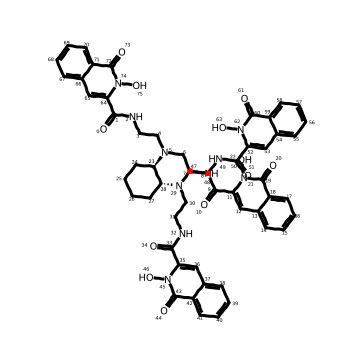 O=C(NCCN(CCNC(=O)c1cc2ccccc2c(=O)n1O)[C@@H]1CCCC[C@H]1N(CCNC(=O)c1cc2ccccc2c(=O)n1O)CCNC(=O)c1cc2ccccc2c(=O)n1O)c1cc2ccccc2c(=O)n1O